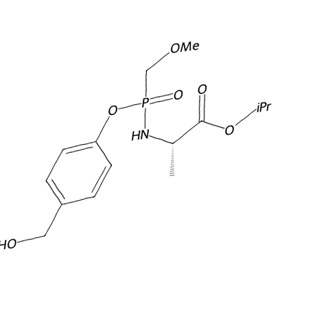 COCP(=O)(N[C@@H](C)C(=O)OC(C)C)Oc1ccc(CO)cc1